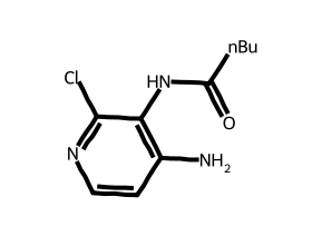 CCCCC(=O)Nc1c(N)ccnc1Cl